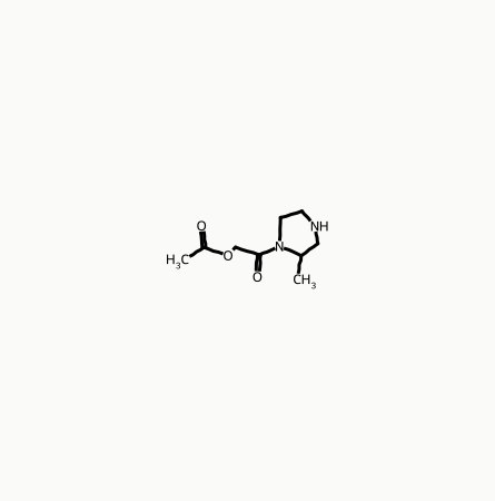 CC(=O)OCC(=O)N1CCNCC1C